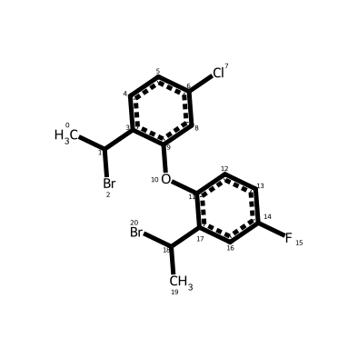 CC(Br)c1ccc(Cl)cc1Oc1ccc(F)cc1C(C)Br